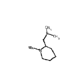 CN(C)CC1CCCCN1C(C)(C)C